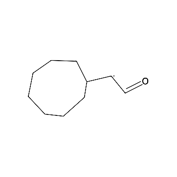 O=C[CH]C1CCCCCCC1